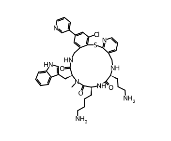 CN1C(=O)[C@H](CCCCN)NC(=O)[C@H](CCCN)NCc2cccnc2Sc2c(Cl)cc(-c3cccnc3)cc2CNC(=O)[C@@H]1Cc1c[nH]c2ccccc12